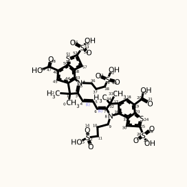 CC1(C)C(/C=C/C=C2/N(CCCS(=O)(=O)O)c3c(cc(C(=O)O)c4sc(S(=O)(=O)O)cc34)C2(C)C)=[N+](CCCS(=O)(=O)O)c2c1cc(C(=O)O)c1sc(S(=O)(=O)O)cc21